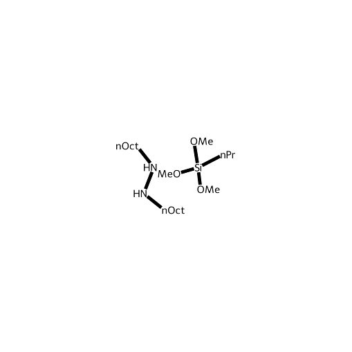 CCCCCCCCNNCCCCCCCC.CCC[Si](OC)(OC)OC